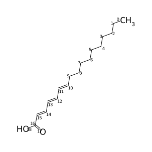 CCCCCCCCCC/C=C/C=C/C=C/C(=O)O